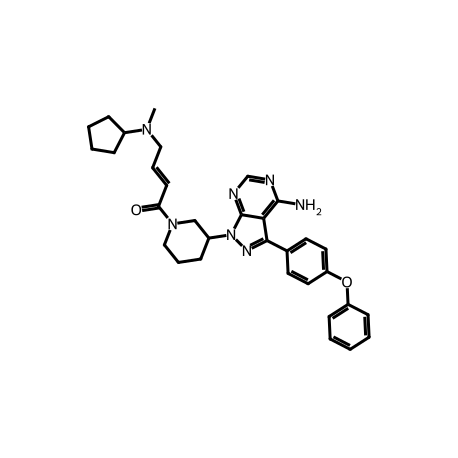 CN(CC=CC(=O)N1CCCC(n2nc(-c3ccc(Oc4ccccc4)cc3)c3c(N)ncnc32)C1)C1CCCC1